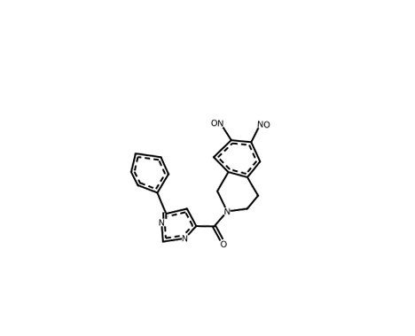 O=Nc1cc2c(cc1N=O)CN(C(=O)c1cc(-c3ccccc3)ncn1)CC2